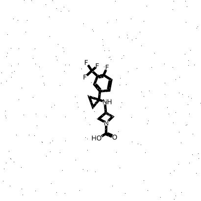 O=C(O)N1CC(NC2(c3ccc(F)c(C(F)(F)F)c3)CC2)C1